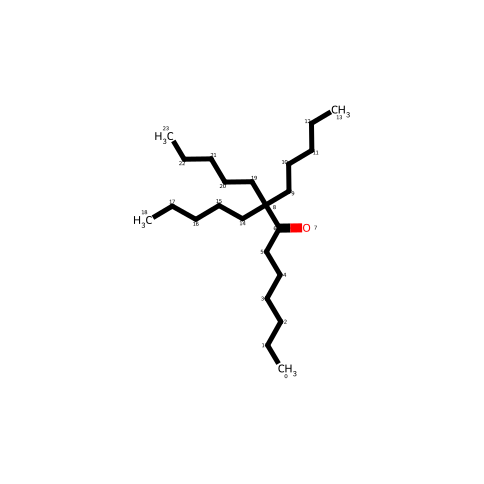 CCCCCCC(=O)C(CCCCC)(CCCCC)CCCCC